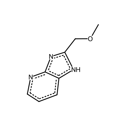 COCc1nc2ncccc2[nH]1